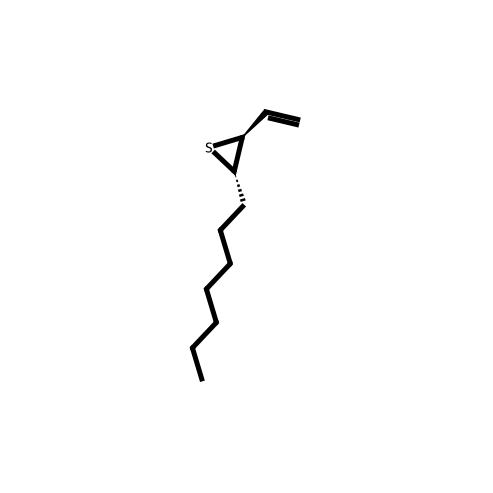 C=C[C@@H]1S[C@H]1CCCCCCC